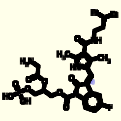 CCN(CC)CCNC(=O)c1c(C)[nH]c(/C=C2\C(=O)N(C(=O)OCC(COP(=O)(O)O)OC(=O)CN)c3ccc(F)cc32)c1C